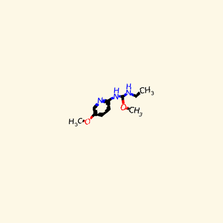 CCNC(Nc1ccc(OC)cn1)OC